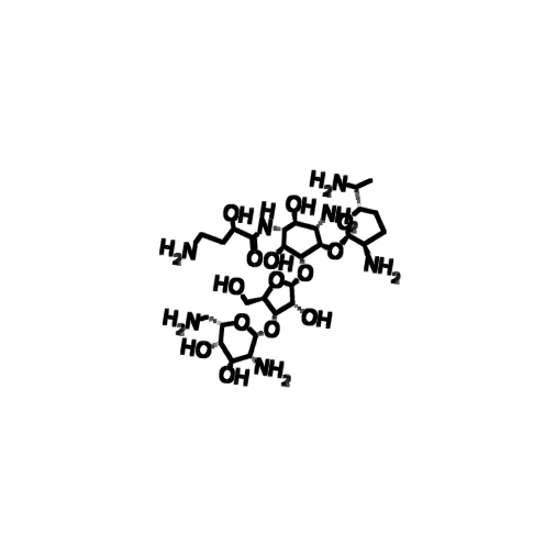 CC(N)[C@@H]1CC[C@@H](N)[C@@H](O[C@@H]2[C@@H](N)[C@H](O)[C@@H](NC(=O)C(O)CCN)[C@H](O)[C@H]2O[C@@H]2O[C@H](CO)[C@@H](O[C@H]3O[C@@H](CN)[C@@H](O)[C@H](O)[C@H]3N)[C@H]2O)O1